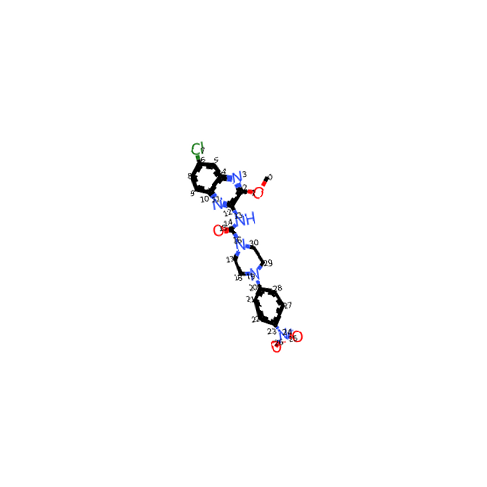 COc1nc2cc(Cl)ccc2nc1NC(=O)N1CCN(c2ccc([N+](=O)[O-])cc2)CC1